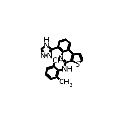 Cc1cccc(C)c1Nc1nc2c(-c3nnc[nH]3)cccc2c2ccsc12